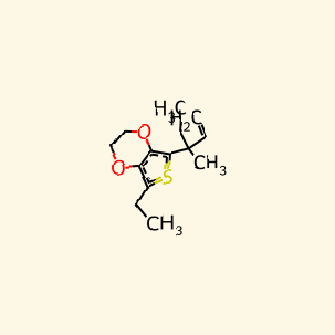 C=CC(C)(CC)c1sc(CC)c2c1OCCO2